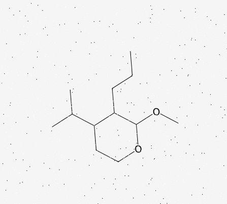 CCCC1C(OC)OCCC1C(C)C